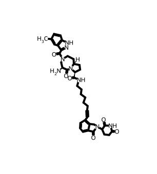 Cc1ccc2[nH]nc(C(=O)N3CC[C@H]4CC[C@@H](C(=O)NCCCCCCC#Cc5cccc6c5CN(C5CCC(=O)NC5=O)C6=O)N4C(=O)[C@@H](N)C3)c2c1